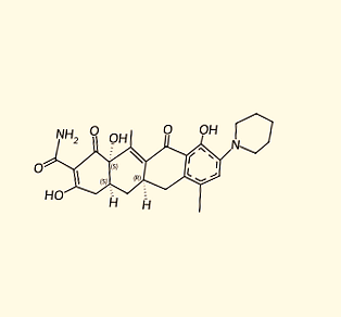 CC1=C2C(=O)c3c(O)c(N4CCCCC4)cc(C)c3C[C@H]2C[C@H]2CC(O)=C(C(N)=O)C(=O)[C@@]12O